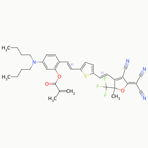 C=C(C)C(=O)Oc1cc(N(CCCC)CCCC)ccc1/C=C/c1ccc(/C=C/C2=C(C#N)C(=C(C#N)C#N)OC2(C)C(F)(F)F)s1